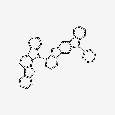 c1ccc(-n2c3ccccc3c3cc4oc5c(-n6c7ccccc7c7ccc8c9ccccc9oc8c76)cccc5c4cc32)cc1